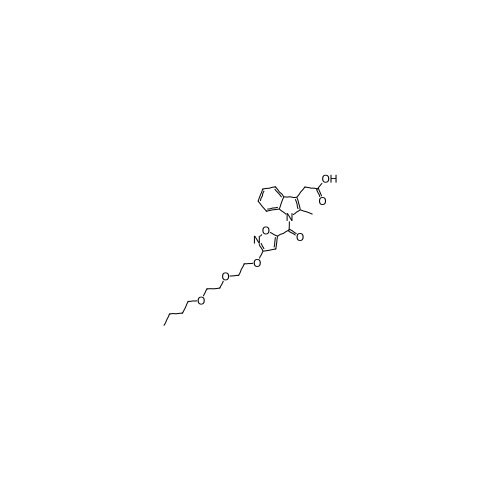 CCCCOCCOCCOc1cc(C(=O)n2c(C)c(CC(=O)O)c3ccccc32)on1